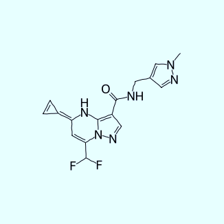 Cn1cc(CNC(=O)c2cnn3c2NC(=C2C=C2)C=C3C(F)F)cn1